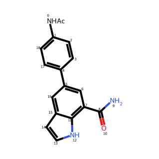 CC(=O)Nc1ccc(-c2cc(C(N)=O)c3[nH]ccc3c2)cc1